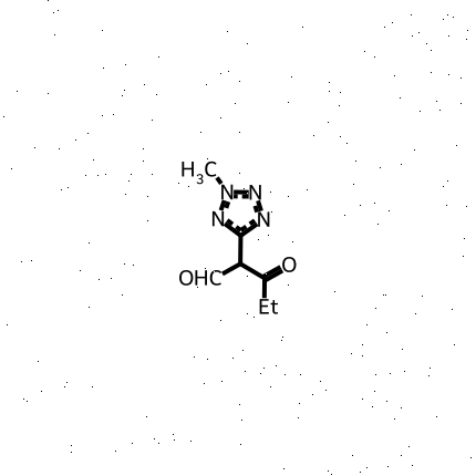 CCC(=O)C(C=O)c1nnn(C)n1